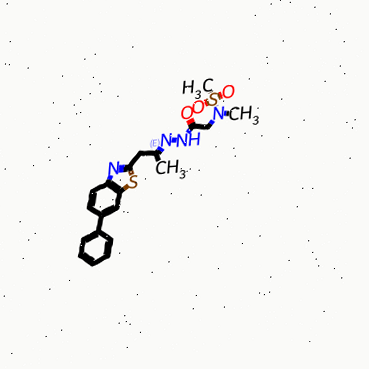 C/C(Cc1nc2ccc(-c3ccccc3)cc2s1)=N\NC(=O)CN(C)S(C)(=O)=O